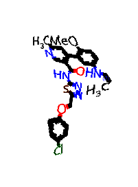 C/C=C\Nc1ccc(OC)c(-c2cc(C)ncc2C(=O)Nc2nnc(COc3ccc(Cl)cc3)s2)c1